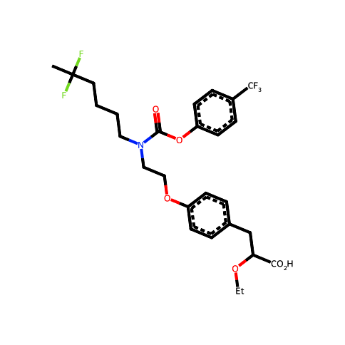 CCOC(Cc1ccc(OCCN(CCCCC(C)(F)F)C(=O)Oc2ccc(C(F)(F)F)cc2)cc1)C(=O)O